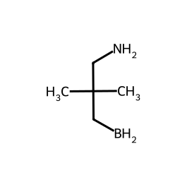 BCC(C)(C)CN